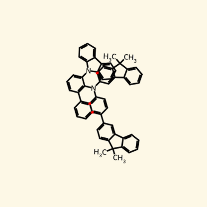 CC1(C)c2ccccc2-c2cc(-c3ccc(N(c4ccc5c(c4)-c4ccccc4C5(C)C)c4c(-c5ccccc5)cccc4-n4c5ccccc5c5ccccc54)cc3)ccc21